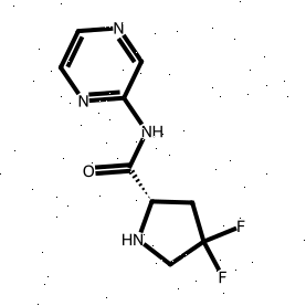 O=C(Nc1cnccn1)[C@@H]1CC(F)(F)CN1